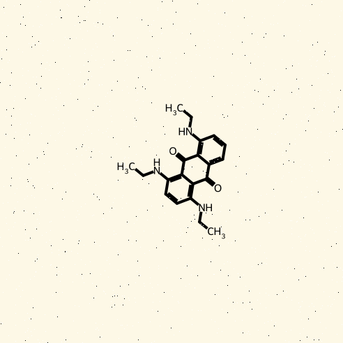 CCNc1cccc2c1C(=O)c1c(NCC)ccc(NCC)c1C2=O